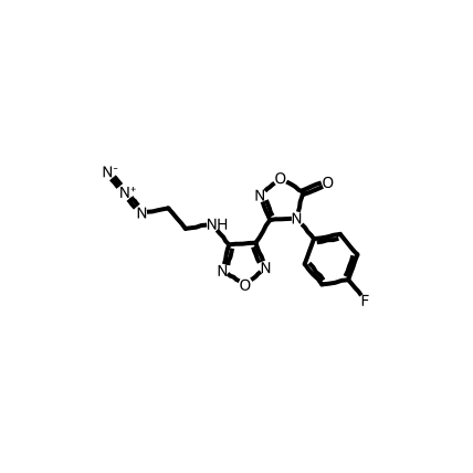 [N-]=[N+]=NCCNc1nonc1-c1noc(=O)n1-c1ccc(F)cc1